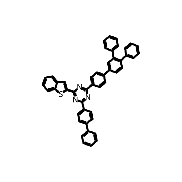 c1ccc(-c2ccc(-c3nc(-c4ccc(-c5ccc(-c6ccccc6)c(-c6ccccc6)c5)cc4)nc(-c4cc5ccccc5s4)n3)cc2)cc1